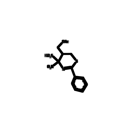 CC(=O)OCC1CSC(c2ccccc2)=NC1([N+](=O)[O-])S(=O)(=O)O